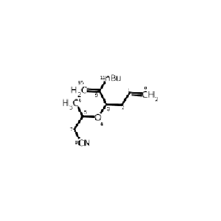 C=CCC(OC(C)CC#N)C(=C)CCCC